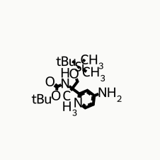 CC(C)(C)OC(=O)NC(C)(CO[Si](C)(C)C(C)(C)C)c1cc(N)ccn1